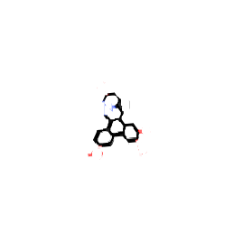 COc1ccc2c3c(c4cc(OC)c(OC)cc4c2c1)C[C@H]1CCC(OC)CN1C3